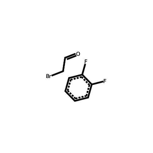 Fc1ccccc1F.O=CCBr